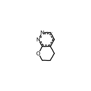 [c]1cc2c(nn1)OCCC2